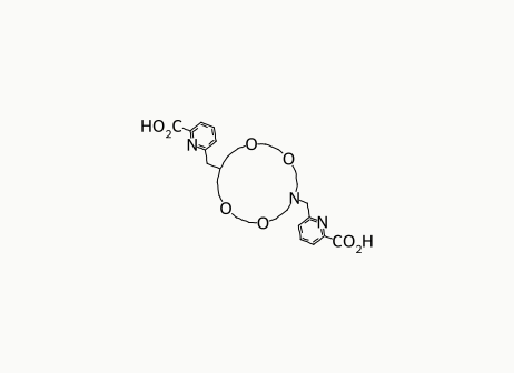 O=C(O)c1cccc(CC2CCOCCOCCN(Cc3cccc(C(=O)O)n3)CCOCCOCC2)n1